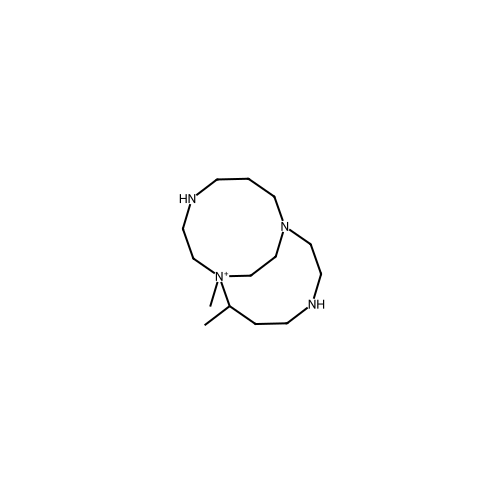 CC1CCNCCN2CCCNCC[N+]1(C)CC2